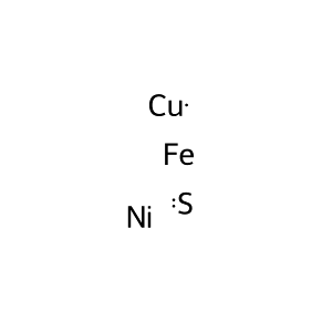 [Cu].[Fe].[Ni].[S]